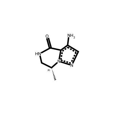 C[C@@H]1CNC(=O)c2c(N)cnn21